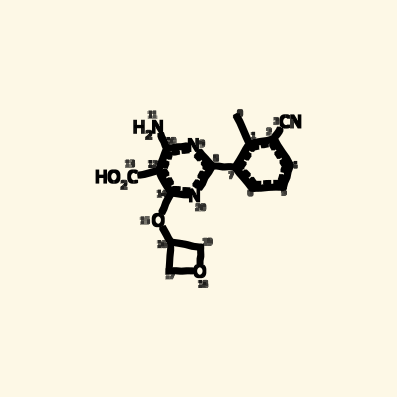 Cc1c(C#N)cccc1-c1nc(N)c(C(=O)O)c(OC2COC2)n1